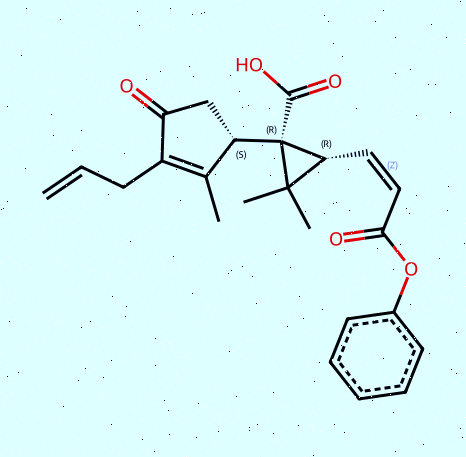 C=CCC1=C(C)[C@@H]([C@@]2(C(=O)O)[C@H](/C=C\C(=O)Oc3ccccc3)C2(C)C)CC1=O